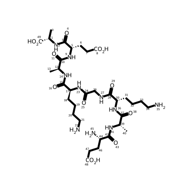 C[C@H](NC(=O)[C@H](CCC(=O)O)NC(=O)[C@H](C)NC(=O)[C@H](CCCCN)NC(=O)CNC(=O)[C@H](CCCCN)NC(=O)[C@H](C)NC(=O)[C@@H](N)CCC(=O)O)C(=O)O